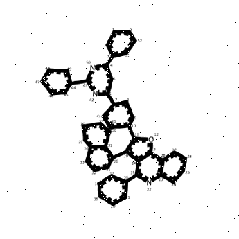 c1ccc(-c2cc(-c3ccc(-c4oc5c(c(-c6ccccc6)nc6ccccc65)c4-c4cccc5ccccc45)cc3)nc(-c3ccccc3)n2)cc1